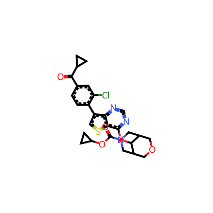 O=C(c1ccc(-c2csc3c(OC4C5COCC4CN(C(=O)OC4CC4)C5)ncnc23)c(Cl)c1)C1CC1